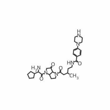 CC(CCNC(=O)c1ccc(N2CCNCC2)cc1)CC(=O)N1CCC2C1C(=O)CN2C(=O)C(N)C1CCCC1